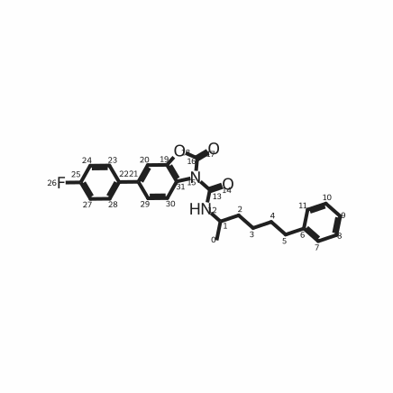 CC(CCCCc1ccccc1)NC(=O)n1c(=O)oc2cc(-c3ccc(F)cc3)ccc21